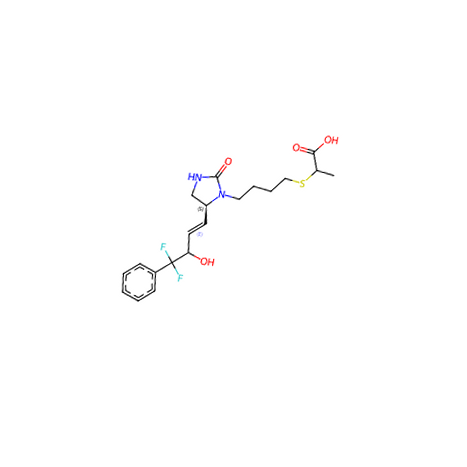 CC(SCCCCN1C(=O)NC[C@@H]1/C=C/C(O)C(F)(F)c1ccccc1)C(=O)O